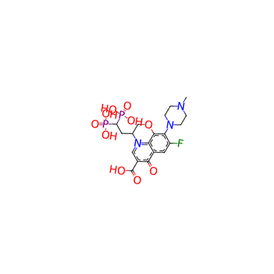 CN1CCN(c2c(F)cc3c(=O)c(C(=O)O)cn4c3c2OCC4CC(P(=O)(O)O)P(=O)(O)O)CC1